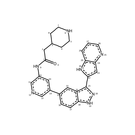 O=C(CC1CCNCC1)Nc1cncc(-c2ccc3[nH]nc(-c4cc5ncccc5[nH]4)c3c2)c1